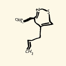 C=CCc1csnc1C=O